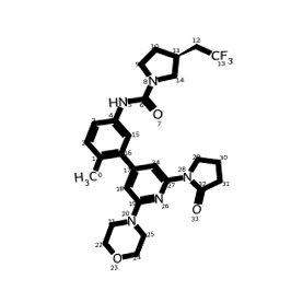 Cc1ccc(NC(=O)N2CC[C@@H](CC(F)(F)F)C2)cc1-c1cc(N2CCOCC2)nc(N2CCCC2=O)c1